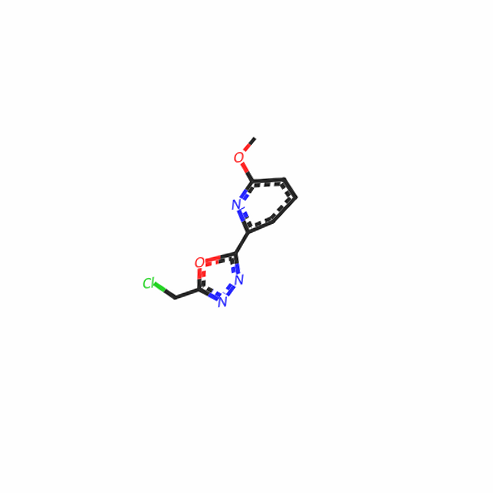 COc1cccc(-c2nnc(CCl)o2)n1